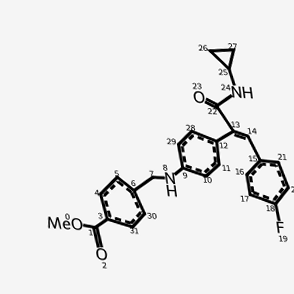 COC(=O)c1ccc(CNc2ccc(/C(=C\c3ccc(F)cc3)C(=O)NC3CC3)cc2)cc1